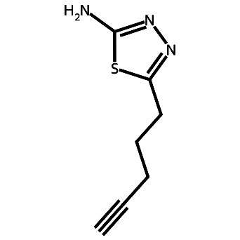 C#CCCCc1nnc(N)s1